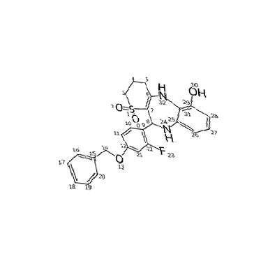 O=S1(=O)CCCC2=C1C(c1ccc(OCc3ccccc3)cc1F)Nc1cccc(O)c1N2